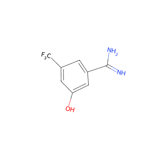 N=C(N)c1cc(O)cc(C(F)(F)F)c1